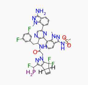 Cn1nc(N)c2cccc(-c3cnc(C(Cc4cc(F)cc(F)c4)NC(=O)Cn4nc(C(F)P)c5c4C(F)(F)[C@@H]4C#C[C@H]54)c(-c4cccc5c(NS(C)(=O)=O)nn(C)c45)n3)c21